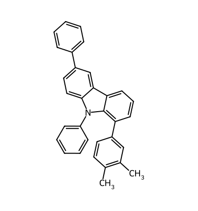 Cc1ccc(-c2cccc3c4cc(-c5ccccc5)ccc4n(-c4ccccc4)c23)cc1C